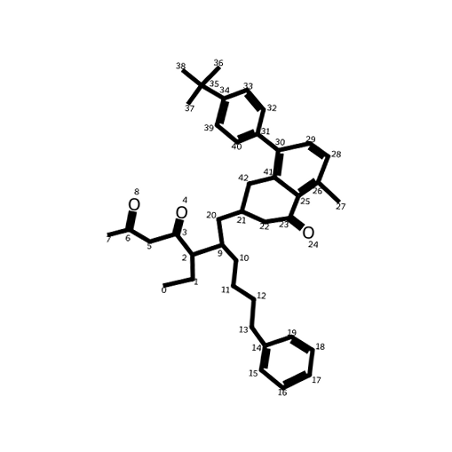 CCC(C(=O)CC(C)=O)C(CCCCc1ccccc1)CC1CC(=O)c2c(C)ccc(-c3ccc(C(C)(C)C)cc3)c2C1